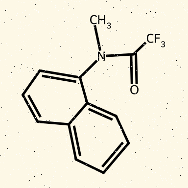 CN(C(=O)C(F)(F)F)c1cccc2ccccc12